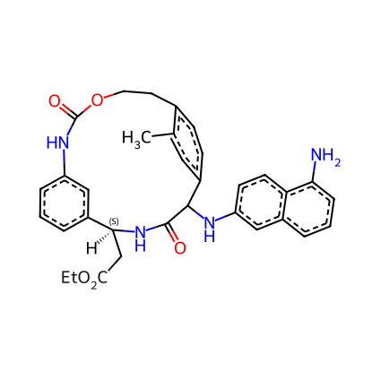 CCOC(=O)C[C@@H]1NC(=O)C(Nc2ccc3c(N)cccc3c2)c2ccc(c(C)c2)CCOC(=O)Nc2cccc1c2